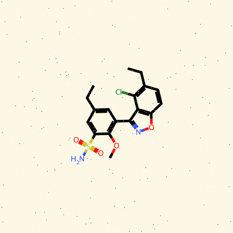 CCc1cc(-c2noc3ccc(CC)c(Cl)c23)c(OC)c(S(N)(=O)=O)c1